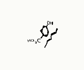 CC=CC=CC.O=C(O)c1ccc(O)cc1